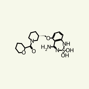 NC1=NS(O)(O)Nc2cccc(OC[C@H]3CCCN(C(=O)C4CCCCO4)C3)c21